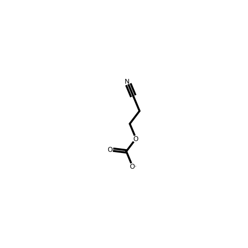 N#CCCOC([O])=O